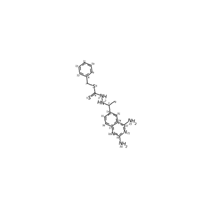 CC(NNC(=S)SCc1ccccc1)c1ccc2nc(N)nc(N)c2c1